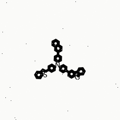 c1ccc2cc(-c3ccc(N(c4ccc(-c5ccc6oc7ccccc7c6c5)cc4)c4ccc(-c5cc6ccccc6s5)cc4)cc3)ccc2c1